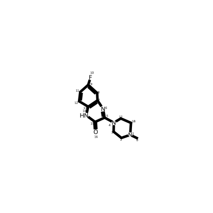 CN1CCN(c2nc3cc(F)ccc3[nH]c2=O)CC1